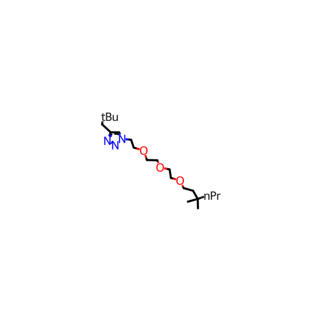 CCCC(C)(C)CCOCCOCCOCCn1cc(CC(C)(C)C)nn1